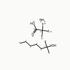 CCCCCC(C)(C)O.N.O=C(O)C(F)(F)F